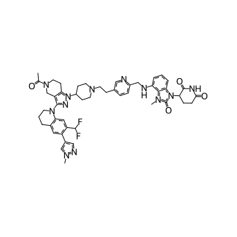 CC(=O)N1CCc2c(c(N3CCCc4cc(-c5cnn(C)c5)c(C(F)F)cc43)nn2C2CCN(CCc3ccc(CNc4cccc5c4n(C)c(=O)n5C4CCC(=O)NC4=O)nc3)CC2)C1